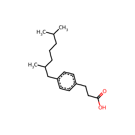 CC(C)CCCC(C)Cc1ccc(CCC(=O)O)cc1